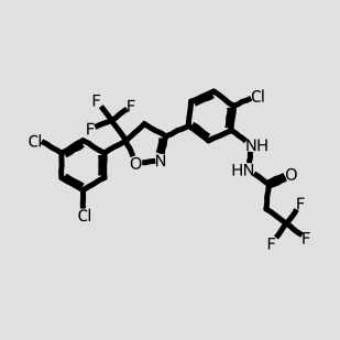 O=C(CC(F)(F)F)NNc1cc(C2=NOC(c3cc(Cl)cc(Cl)c3)(C(F)(F)F)C2)ccc1Cl